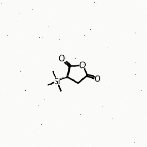 C[Si](C)(C)C1CC(=O)OC1=O